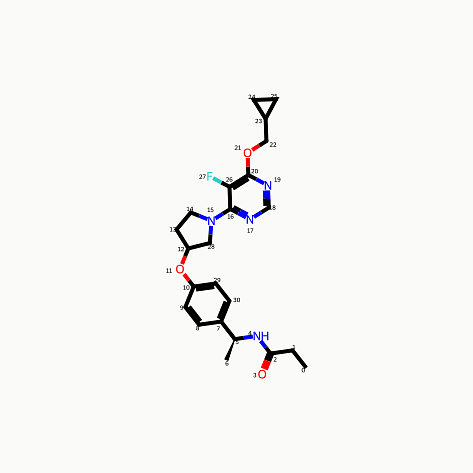 CCC(=O)N[C@@H](C)c1ccc(OC2CCN(c3ncnc(OCC4CC4)c3F)C2)cc1